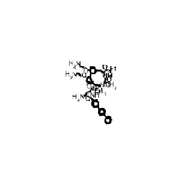 CCNC(=O)[C@@H]1Cc2ccc(OCCN)c(c2)-c2cc(ccc2OCCN)[C@H](N(C)C(=O)[C@H](CCN)NC(=O)c2ccc(-c3ccc(-c4ccccc4)cc3)cc2)C(=O)N[C@@H](C)C(=O)N1